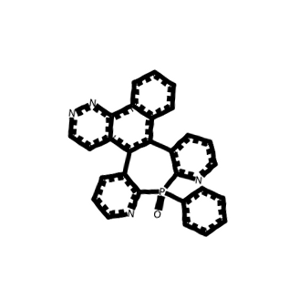 O=P1(c2ccccc2)c2ncccc2-c2c(c3ccnnc3c3ccccc23)-c2cccnc21